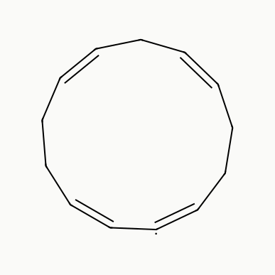 [C]1=CCCC=CCC=CCCC=C1